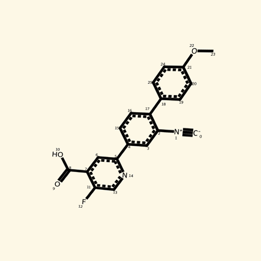 [C-]#[N+]c1cc(-c2cc(C(=O)O)c(F)cn2)ccc1-c1ccc(OC)cc1